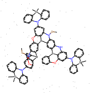 CSN1c2cc3c(cc2B2c4cc5c(cc4Oc4cc(N6c7ccccc7[Si](C)(C)c7ccccc76)cc1c42)N(SC)c1cc(N2c4ccccc4[Si](C)(C)c4ccccc42)cc2c1B5c1ccccc1O2)B1c2ccccc2Oc2cc(N4c5ccccc5[Si](C)(C)c5ccccc54)cc(c21)N3